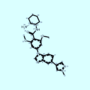 COc1cc(-n2cnc3cc(-c4cnn(C)c4)ccc32)cc(OC)c1C(=O)N[C@@H]1CCCC[C@H]1N